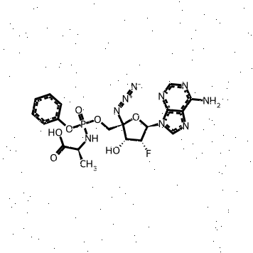 C[C@H](NP(=O)(OC[C@@]1(N=[N+]=[N-])O[C@@H](n2cnc3c(N)ncnc32)[C@H](F)[C@@H]1O)Oc1ccccc1)C(=O)O